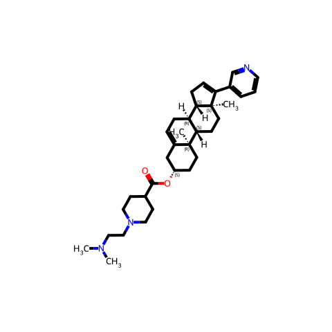 CN(C)CCN1CCC(C(=O)O[C@H]2CC[C@@]3(C)C(=CC[C@@H]4[C@@H]3CC[C@]3(C)C(c5cccnc5)=CC[C@@H]43)C2)CC1